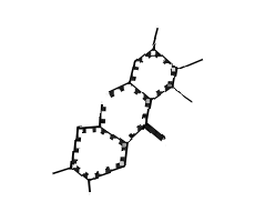 Cc1cc2oc3cc(O)c(C)c(O)c3c(=O)c2cc1C